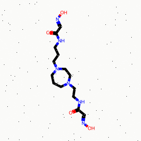 O=C(/C=N/O)NCCCN1CCCN(CCNC(=O)/C=N/O)CC1